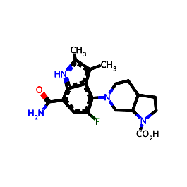 Cc1[nH]c2c(C(N)=O)cc(F)c(N3CCC4CCN(C(=O)O)C4C3)c2c1C